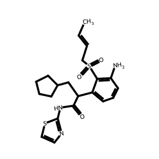 CC=CCS(=O)(=O)c1c(N)cccc1C(CC1CCCC1)C(=O)Nc1nccs1